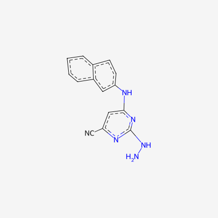 N#Cc1cc(Nc2ccc3ccccc3c2)nc(NN)n1